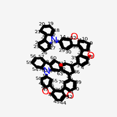 c1cc(-c2ccc3oc4ccc5oc6cc(-n7c8ccccc8c8ccccc87)ccc6c5c4c3c2)cc(-c2ccc3oc4ccc5oc6ccc(-n7c8ccccc8c8ccccc87)cc6c5c4c3c2)c1